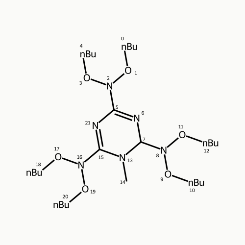 CCCCON(OCCCC)C1=NC(N(OCCCC)OCCCC)N(C)C(N(OCCCC)OCCCC)=N1